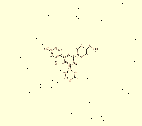 OCC1CCN(c2cc(-c3ccc(Cl)cc3Cl)nc(-c3cccnc3)n2)CC1